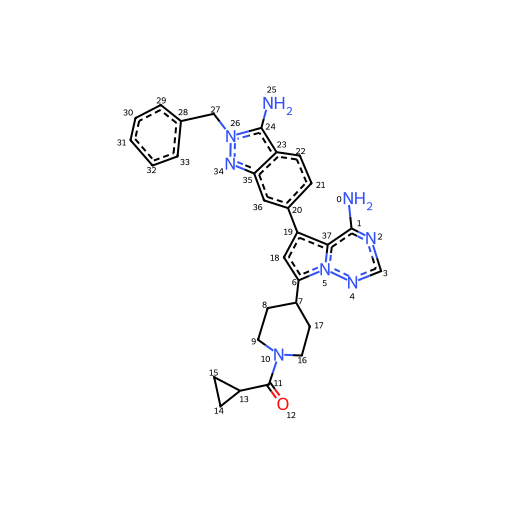 Nc1ncnn2c(C3CCN(C(=O)C4CC4)CC3)cc(-c3ccc4c(N)n(Cc5ccccc5)nc4c3)c12